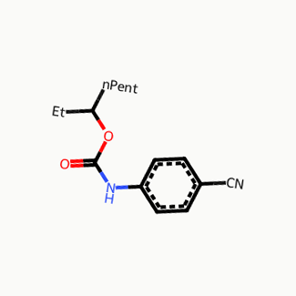 CCCCCC(CC)OC(=O)Nc1ccc(C#N)cc1